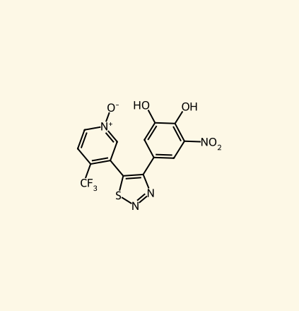 O=[N+]([O-])c1cc(-c2nnsc2-c2c[n+]([O-])ccc2C(F)(F)F)cc(O)c1O